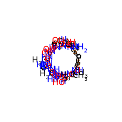 CCC[C@@H]1NC(=O)[C@H](Cc2c[nH]c3ncccc23)NC(=O)[C@H]([C@@H](C)O)NC(=O)[C@H](CC2CNCN2)NC(=O)[C@H](Cc2ccc(O)cc2)NC(=O)[C@H](C(C)(C)C)NC(=O)CCSCc2cccc(c2)CSC[C@H](C(N)=O)NC(=O)[C@H](C(C)(C)O)NC(=O)[C@H](CCC)NC(=O)[C@H](Cc2ccc(O)cc2)NC(=O)[C@H](CCC(=O)O)NC1=O